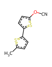 Cc1ccc(-c2ccc(OC#N)s2)s1